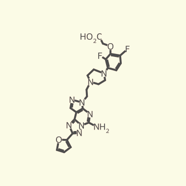 Nc1nc2c(cnn2CCN2CCN(c3ccc(F)c(OCC(=O)O)c3F)CC2)c2nc(-c3ccco3)nn12